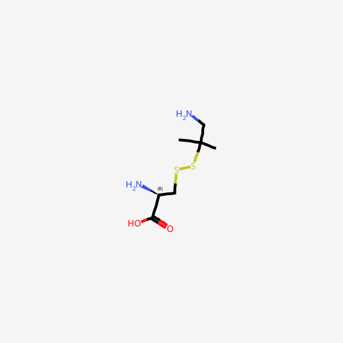 CC(C)(CN)SSC[C@H](N)C(=O)O